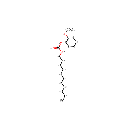 CCOC(=O)OC1CCCCC1OC(=O)OCCCCCCCCCCC(C)C